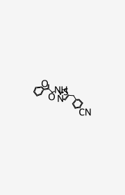 N#Cc1ccc(Cc2cnc(NC(=O)c3coc4ccccc34)s2)cc1